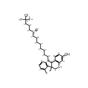 Cc1ccccc1C1(C)CSc2cc(O)ccc2C1CCCCCCCCC[S+]([O-])CCCC(F)(F)C(F)(F)F